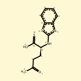 CC(=O)CC[C@H](Nc1nc2ccccc2s1)C(O)=S